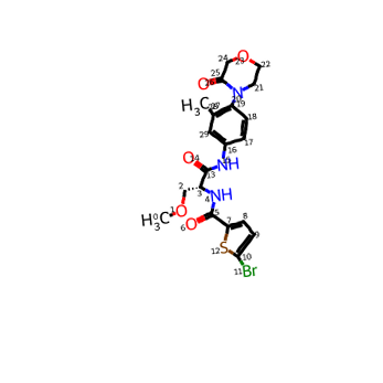 COC[C@@H](NC(=O)c1ccc(Br)s1)C(=O)Nc1ccc(N2CCOCC2=O)c(C)c1